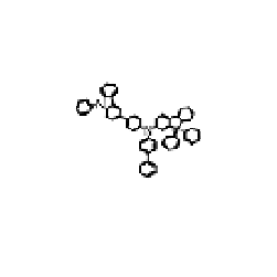 C1=CCCC(c2ccc(N(c3ccc(-c4ccc5c(c4)c4ccccc4n5-c4ccccc4)cc3)c3ccc4c(c3)[C@@](c3ccccc3)(C3C=CC=CC3)c3ccccc3-4)cc2)=C1